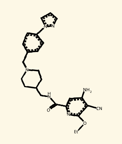 CCOc1nc(C(=O)NCC2CCN(Cc3ccc(-n4cccn4)cc3)CC2)cc(N)c1C#N